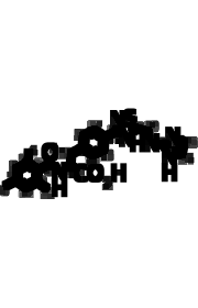 Cc1cc(C)c(C(=O)NC(Cc2ccc(-c3nsc(CNc4ncc[nH]4)n3)cc2)C(=O)O)c(C)c1